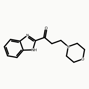 O=C(CCN1CCOCC1)c1nc2ccccc2[nH]1